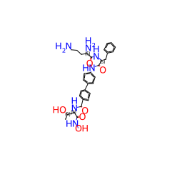 C[C@@H](O)[C@H](NC(=O)c1ccc(-c2ccc(NC(=O)[C@H](Cc3ccccc3)NC(=O)[C@@H](N)CCCN)cc2)cc1)C(=O)NO